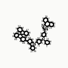 c1ccc(N(c2ccc(-c3cnc4c5ccccc5c5ccccc5c4n3)cc2)c2ccc(-n3c4ccccc4c4cc(-c5ccc6c(c5)C5(c7ccccc7-c7ccccc75)c5ccccc5-6)ccc43)cc2)cc1